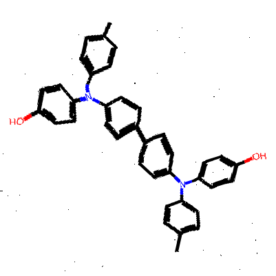 Cc1ccc(N(c2ccc(O)cc2)c2ccc(-c3ccc(N(c4ccc(C)cc4)c4ccc(O)cc4)cc3)cc2)cc1